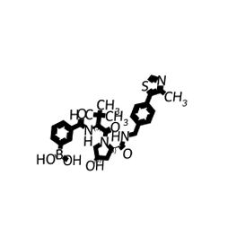 Cc1ncsc1-c1ccc(CNC(=O)[C@@H]2C[C@@H](O)CN2C(=O)[C@@H](NC(=O)c2cccc(B(O)O)c2)C(C)(C)C)cc1